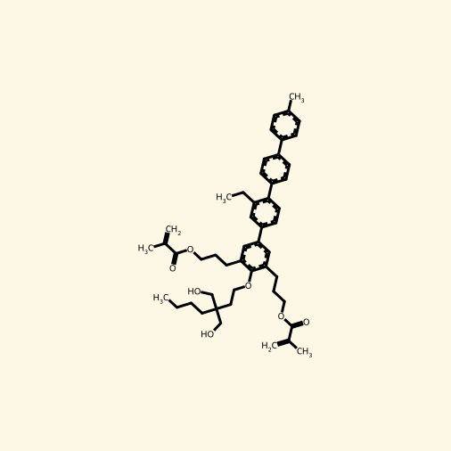 C=C(C)C(=O)OCCCc1cc(-c2ccc(-c3ccc(-c4ccc(C)cc4)cc3)c(CC)c2)cc(CCCOC(=O)C(=C)C)c1OCCC(CO)(CO)CCCC